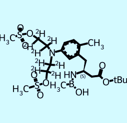 [2H]C([2H])(OS(C)(=O)=O)C([2H])([2H])N(c1ccc(C)c(C[C@@H](CC(=O)OC(C)(C)C)NB(C)O)c1)C([2H])([2H])C([2H])([2H])OS(C)(=O)=O